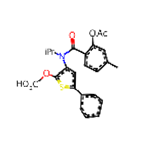 CC(=O)Oc1cc(C)ccc1C(=O)N(c1cc(-c2ccccc2)sc1OC(=O)O)C(C)C